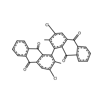 Cc1c(Cl)cc2c(c1-c1c(C)c(Cl)cc3c1C(=O)c1ccccc1C3=O)C(=O)c1ccccc1C2=O